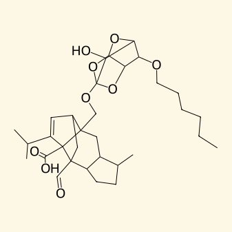 CCCCCCOC1C2OC3(OCC45CC6C(C)CCC6C6(C=O)CC4C=C(C(C)C)C65C(=O)O)OC2OC1C3O